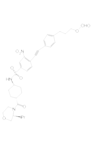 CC(C)[C@H]1COCCN1C(=O)[C@H]1CC[C@H](NS(=O)(=O)c2ccc(C#Cc3ccc(CCCOC=O)cc3)c([N+](=O)[O-])c2)CC1